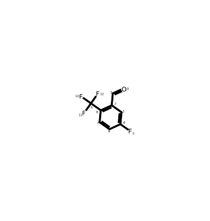 O=Cc1cc(F)ccc1C(F)(F)F